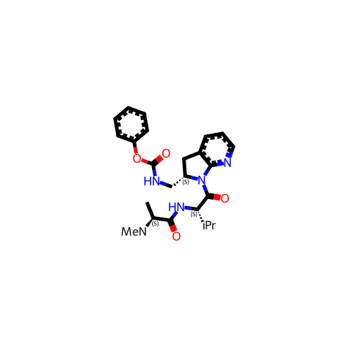 CN[C@@H](C)C(=O)N[C@H](C(=O)N1c2ncccc2C[C@H]1CNC(=O)Oc1ccccc1)C(C)C